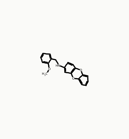 COc1ccccc1CNc1ccc2c(c1)Oc1ccccc1O2